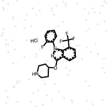 Cl.Fc1ccccc1-n1nc(OC2CCNCC2)c2cccc(C(F)(F)F)c21